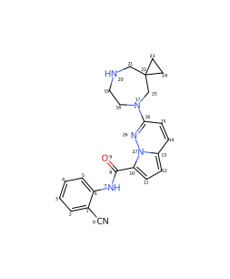 N#Cc1ccccc1NC(=O)c1ccc2ccc(N3CCNCC4(CC4)C3)nn12